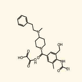 CCC(=O)Nc1c(C)cc(C(=O)N2CCC(N(C)CCc3ccccc3)CC2)cc1CO.O=C(O)C(=O)O